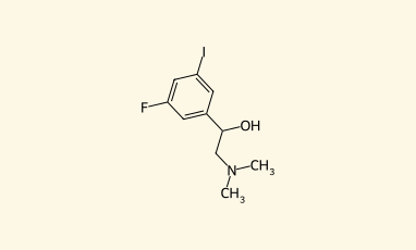 CN(C)CC(O)c1cc(F)cc(I)c1